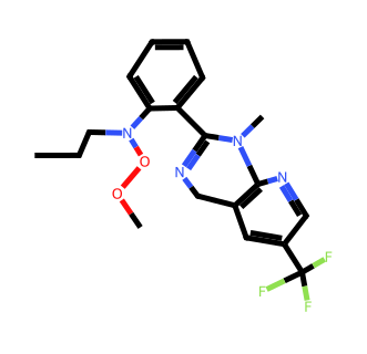 CCCN(OOC)c1ccccc1C1=NCc2cc(C(F)(F)F)cnc2N1C